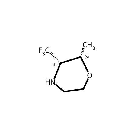 C[C@@H]1OCCN[C@@H]1C(F)(F)F